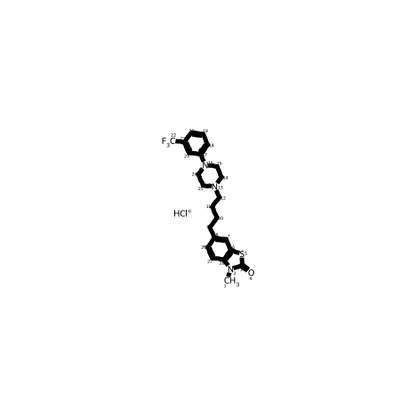 Cl.Cn1c(=O)sc2cc(CCCCN3CCN(c4cccc(C(F)(F)F)c4)CC3)ccc21